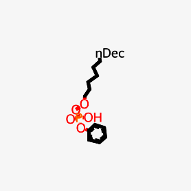 CCCCCCCCCCCCCCCCOOP(=O)(O)Oc1ccccc1